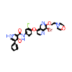 O=C(Nc1ccc(Oc2ccnc3c(Br)c(OCCN4CCOCC4)ncc23)c(F)c1)c1c[nH]cc(-c2ccccc2)c1=O